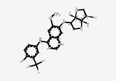 COc1cc2c(Nc3ccc(F)c(C(F)(F)F)c3)ncnc2cc1OC1CO[C@H]2[C@H](F)CO[C@@H]12